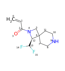 C=CC(=O)N1CC2(CCNCC2)[C@H]1C(F)F